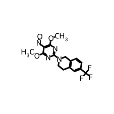 COc1nc(N2CCc3cc(C(F)(F)F)ccc3C2)nc(OC)c1N=O